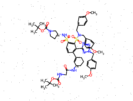 COc1ccc(CN(Cc2ccc(OC)cc2)S(=O)(=O)c2c(S(=O)(=O)N[C@@H]3CCN(C(=O)OC(C)(C)C)C3)ccc(C3=C[C@H](NC(=O)CNC(=O)OC(C)(C)C)CCC3)c2-c2nnn(Cc3ccc(OC)cc3)n2)cc1